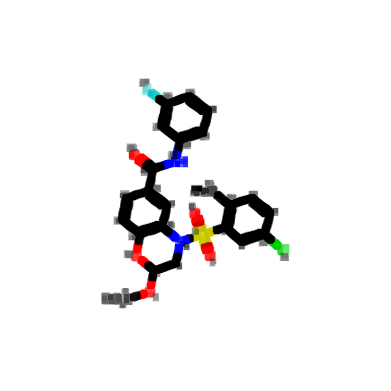 CCOC(=O)OC1CN(S(=O)(=O)c2cc(Cl)ccc2OC)c2cc(C(=O)Nc3cccc(F)c3)ccc2O1